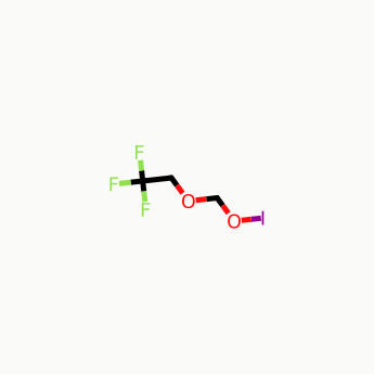 FC(F)(F)COCOI